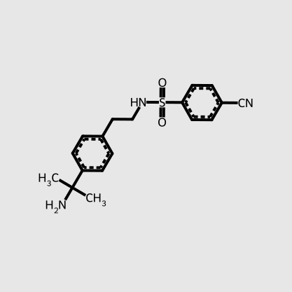 CC(C)(N)c1ccc(CCNS(=O)(=O)c2ccc(C#N)cc2)cc1